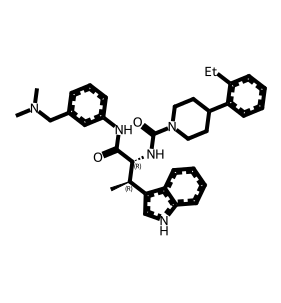 CCc1ccccc1C1CCN(C(=O)N[C@@H](C(=O)Nc2cccc(CN(C)C)c2)[C@H](C)c2c[nH]c3ccccc23)CC1